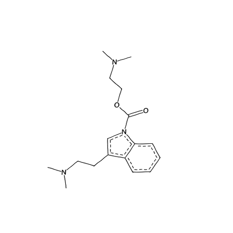 CN(C)CCOC(=O)n1cc(CCN(C)C)c2ccccc21